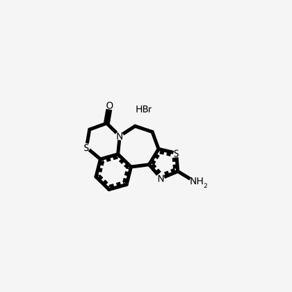 Br.Nc1nc2c(s1)CCN1C(=O)CSc3cccc-2c31